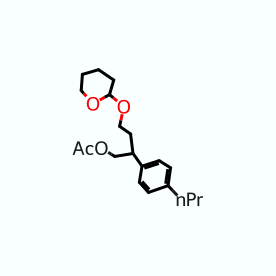 CCCc1ccc(C(CCOC2CCCCO2)COC(C)=O)cc1